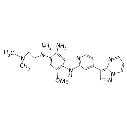 COc1cc(N(C)CCN(C)C)c(N)cc1Nc1cc(-c2cnn3cccnc23)ccn1